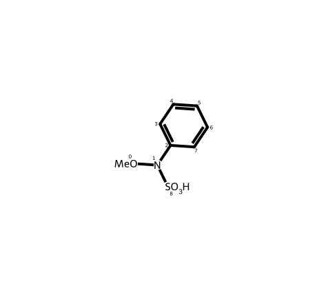 CON(c1ccccc1)S(=O)(=O)O